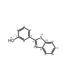 Oc1[c]ccc(-c2nc3ccccc3s2)c1